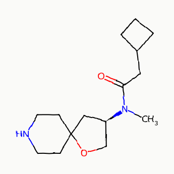 CN(C(=O)CC1CCC1)[C@H]1COC2(CCNCC2)C1